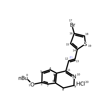 CCCCOc1ccc2c(c1)CCN=C2/C=C/c1cc(Br)cs1.Cl